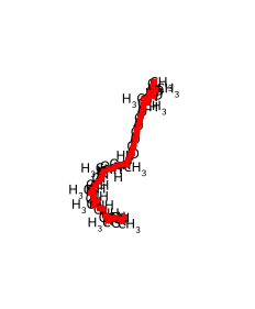 COc1cc(OC)c2c(=O)[nH]c(-c3cc(C)c(OCCOCCOCCOCCOCCOCCOCCC(=O)NCCCN(C)CCCNC(=O)CCNC(=O)c4nc(NC(=O)CCNC(=O)c5cc(NC(=O)c6nc(NC(=O)CCNC(=O)c7cc(NC(=O)c8nccn8C)cn7C)cn6C)cn5C)cn4C)c(C)c3)nc2c1